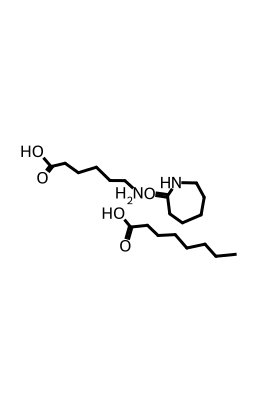 CCCCCCCC(=O)O.NCCCCCC(=O)O.O=C1CCCCCN1